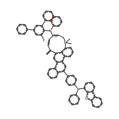 C=C1/C=C\C(N(c2ccccc2)c2c(F)cc(-c3ccccc3)cc2-c2ccccc2)=C/C[Si](C)(C)c2cccc3c2c1cc1c2ccccc2c(-c2ccc(N(c4ccccc4)c4cccc5c4oc4ccccc45)cc2)cc31